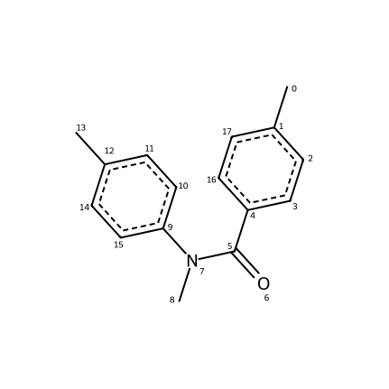 Cc1ccc(C(=O)N(C)c2ccc(C)cc2)cc1